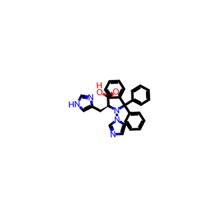 O=C(O)[C@H](Cc1c[nH]cn1)N(n1ccnc1)C(c1ccccc1)(c1ccccc1)c1ccccc1